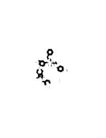 Cc1cc(NC(=O)c2nc(-c3cc(Cl)c(F)c(N4CCc5c(nn(Cc6cncc(F)c6)c5Cl)C4=O)c3)n(Cc3ccccc3)n2)ccc1OC(F)(F)F